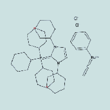 C=[C]=[Ru+2][c]1ccccc1.[Cl-].[Cl-].c1cn(C2CCCCC2)c(=P(C2CCCCC2)(C2CCCCC2)C2CCCCC2)n1C1CCCCC1